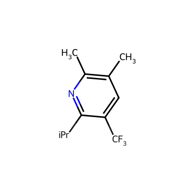 Cc1cc(C(F)(F)F)c(C(C)C)nc1C